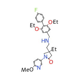 CCOc1cc(CNCCC2(CC)CC(=O)N(c3ccc(OC)nc3)C2)cc(OCC)c1-c1ccc(F)cc1